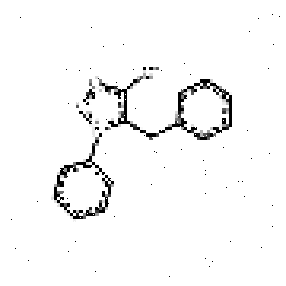 [O-]c1on[n+](-c2ccccc2)c1Cc1ccccc1